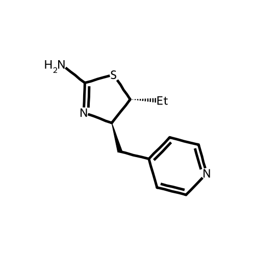 CC[C@H]1SC(N)=N[C@@H]1Cc1ccncc1